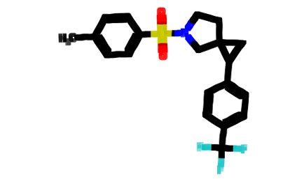 Cc1ccc(S(=O)(=O)N2CCC3(CC3c3ccc(C(F)(F)F)cc3)C2)cc1